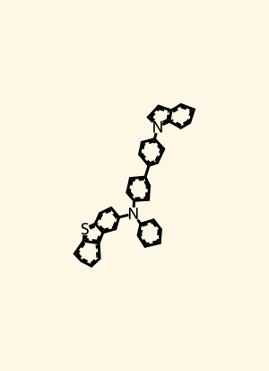 c1ccc(N(c2ccc(-c3ccc(-n4ccc5ccccc54)cc3)cc2)c2ccc3sc4ccccc4c3c2)cc1